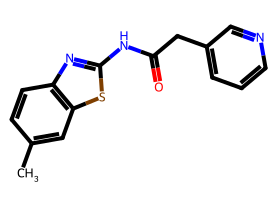 Cc1ccc2nc(NC(=O)Cc3cccnc3)sc2c1